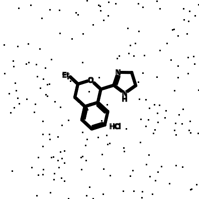 CCC1Cc2ccccc2C(C2=NCCN2)O1.Cl